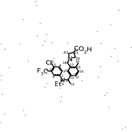 CCN(c1ccc(Cl)c(C(F)(F)F)c1)C(C)c1ccc(C)c(CN2CC(C(=O)O)C2)c1